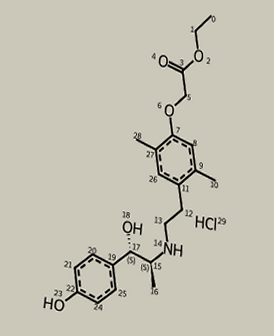 CCOC(=O)COc1cc(C)c(CCN[C@@H](C)[C@@H](O)c2ccc(O)cc2)cc1C.Cl